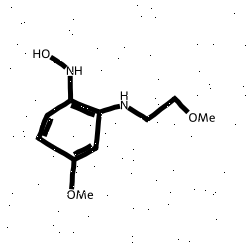 COCCNc1cc(OC)ccc1NO